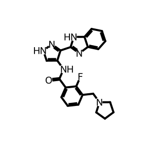 O=C(Nc1c[nH]nc1-c1nc2ccccc2[nH]1)c1cccc(CN2CCCC2)c1F